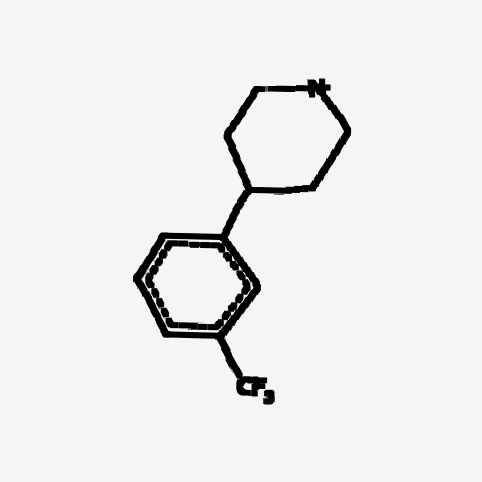 FC(F)(F)c1cccc(C2CC[N]CC2)c1